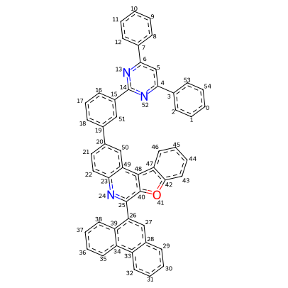 c1ccc(-c2cc(-c3ccccc3)nc(-c3cccc(-c4ccc5nc(-c6cc7ccccc7c7ccccc67)c6oc7ccccc7c6c5c4)c3)n2)cc1